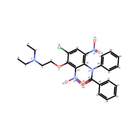 CCN(CC)CCOc1c(Cl)cc([N+](=O)[O-])c(N(C(=O)c2ccccc2)c2ccccc2)c1[N+](=O)[O-]